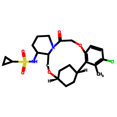 Cc1c(Cl)ccc2c1[C@H]1CC[C@H](CC1)OCC1C(NS(=O)(=O)C3CC3)CCCN1C(=O)CO2